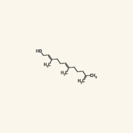 C=C(C)CCC/C(C)=C/CC/C(C)=C/CO